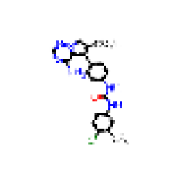 Nc1ncnn2cc(C(=O)O)c(-c3ccc(NC(=O)Nc4ccc(Cl)c(C(F)(F)F)c4)cc3)c12